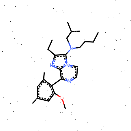 CCCCN(CC(C)C)c1c(CC)nc2c(-c3c(C)cc(C)cc3OC)nccn12